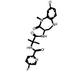 CN1C(=O)C(NC(=O)C(C)(C)NC(=O)c2ccc(F)cn2)CNc2ccc(Cl)cc21